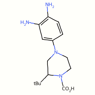 CC(C)(C)C1CN(c2ccc(N)c(N)c2)CCN1C(=O)O